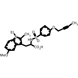 CC#CCOc1ccc(S(=O)(=O)NC(Cc2c(C)n(CC)c3ccc(OC)cc23)C(=O)O)cc1